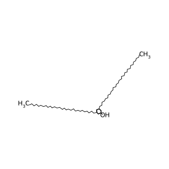 CCCCCCCCCCCCCCCCCCCCCCCCCCCCCCc1cc(O)cc(CCCCCCCCCCCCCCCCCCCCCCCCCCCCCC)c1